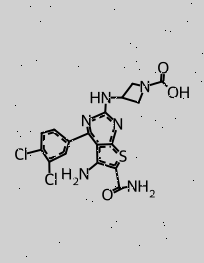 NC(=O)c1sc2nc(NC3CN(C(=O)O)C3)nc(-c3ccc(Cl)c(Cl)c3)c2c1N